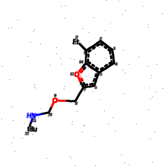 CCc1cccc2cc(COCNC(C)(C)C)oc12